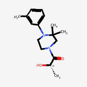 Cc1cccc(N2CCN(C(=O)[C@H](C)O)CC2(C)C)c1